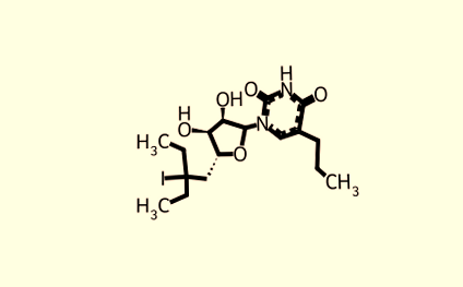 CCCc1cn(C2O[C@H](CC(I)(CC)CC)[C@@H](O)[C@H]2O)c(=O)[nH]c1=O